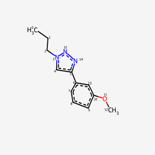 CCCn1cc(-c2cccc(OC)c2)nn1